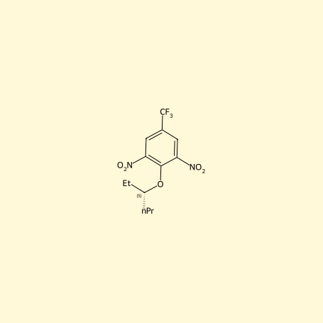 CCC[C@H](CC)Oc1c([N+](=O)[O-])cc(C(F)(F)F)cc1[N+](=O)[O-]